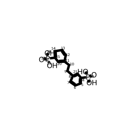 O=P(O)(O)c1cccc(CCc2cccc(P(=O)(O)O)c2)c1